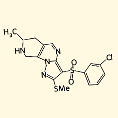 CSc1nn2c3c(cnc2c1S(=O)(=O)c1cccc(Cl)c1)CC(C)NC3